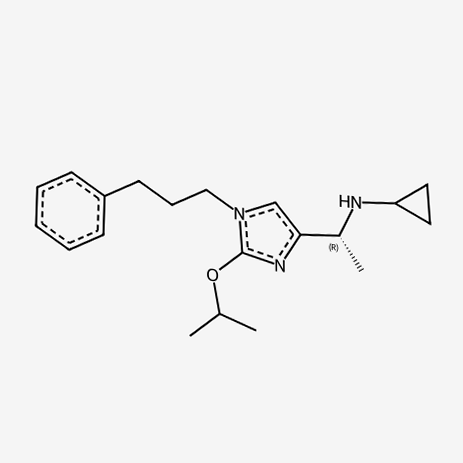 CC(C)Oc1nc([C@@H](C)NC2CC2)cn1CCCc1ccccc1